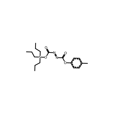 CCC[Si](CCC)(CCC)OC(=O)N=NC(=O)Oc1ccc(C)cc1